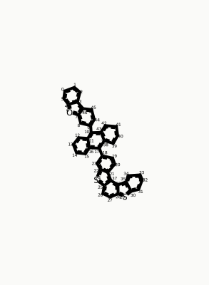 c1ccc2c(c1)oc1cc(-c3c4ccccc4c(-c4ccc5c(c4)sc4ccc6sc7ccccc7c6c45)c4ccccc34)ccc12